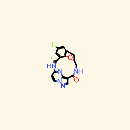 C[C@H]1Nc2ccn3ncc(c3n2)C(=O)NCC2Cc3cc(F)cc1c3O2